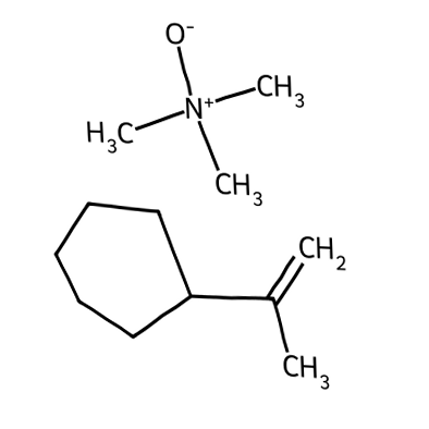 C=C(C)C1CCCCC1.C[N+](C)(C)[O-]